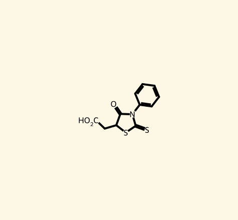 O=C(O)CC1SC(=S)N(c2ccccc2)C1=O